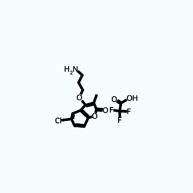 Cc1c(OCCCN)c2cc(Cl)ccc2oc1=O.O=C(O)C(F)(F)F